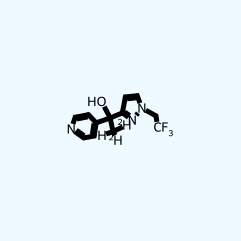 [2H]C([2H])([2H])C(O)(c1ccncc1)c1ccn(CC(F)(F)F)n1